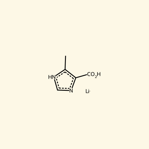 Cc1[nH]cnc1C(=O)O.[Li]